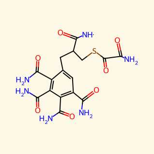 [NH]C(=O)C(CSC(=O)C(N)=O)Cc1cc(C(N)=O)c(C(N)=O)c(C(N)=O)c1C(N)=O